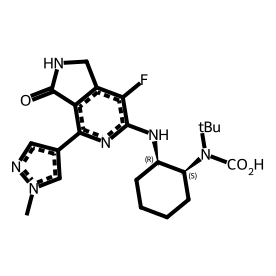 Cn1cc(-c2nc(N[C@@H]3CCCC[C@@H]3N(C(=O)O)C(C)(C)C)c(F)c3c2C(=O)NC3)cn1